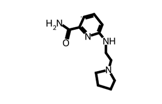 NC(=O)c1[c]ccc(NCCN2CCCC2)n1